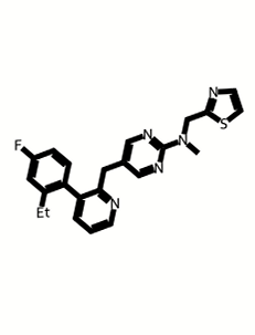 CCc1cc(F)ccc1-c1cccnc1Cc1cnc(N(C)Cc2nccs2)nc1